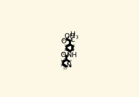 CC(C(=O)O)c1ccc(NC(=O)c2cccnc2)cc1